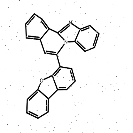 c1ccc2c(c1)cc(-c1cccc3c1oc1ccccc13)n1c3ccccc3nc21